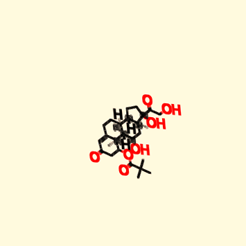 CC(C)(C)C(=O)OC1CC(=O)C=C2CC[C@@H]3[C@H]([C@@H](O)C[C@@]4(C)[C@H]3CC[C@]4(O)C(=O)CO)[C@]21C